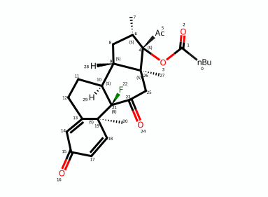 CCCCC(=O)O[C@@]1(C(C)=O)[C@@H](C)C[C@H]2[C@@H]3CCC4=CC(=O)C=C[C@]4(C)[C@@]3(F)C(=O)C[C@@]21C